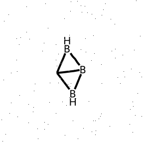 B1B2BC12